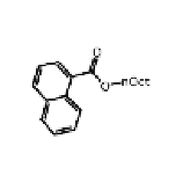 CCCCCCCCOC(=O)c1cccc2ccccc12